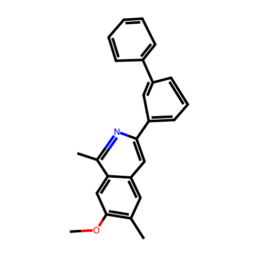 COc1cc2c(C)nc(-c3cccc(-c4ccccc4)c3)cc2cc1C